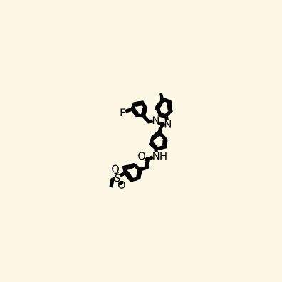 CCS(=O)(=O)c1ccc(CC(=O)Nc2ccc(-c3nc4ccc(C)cc4n3Cc3cccc(F)c3)cc2)cc1